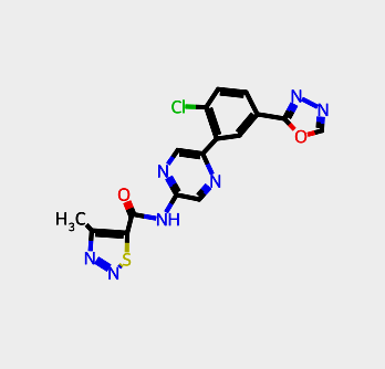 Cc1nnsc1C(=O)Nc1cnc(-c2cc(-c3nnco3)ccc2Cl)cn1